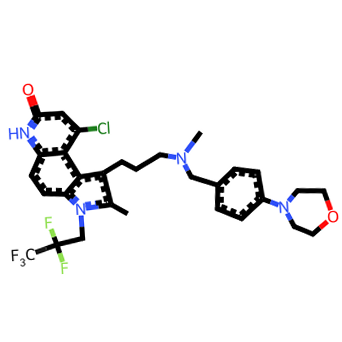 Cc1c(CCCN(C)Cc2ccc(N3CCOCC3)cc2)c2c3c(Cl)cc(=O)[nH]c3ccc2n1CC(F)(F)C(F)(F)F